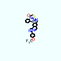 CC(C)c1ccccc1N1C(=O)CS/C1=N\N=C/c1ccc2c(ccn3c(-c4ccc(OC(F)(F)F)cc4)ncc23)c1